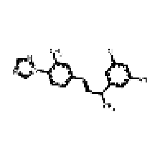 Cc1cc(/C=C/C(c2cc(Cl)cc(Cl)c2)C(F)(F)F)ccc1-n1cncn1